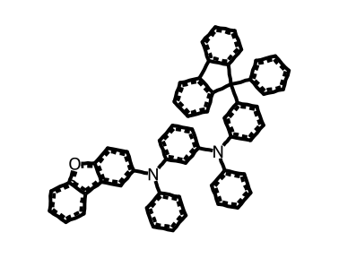 c1ccc(N(c2cccc(N(c3ccccc3)c3ccc4oc5ccccc5c4c3)c2)c2cccc(C3(c4ccccc4)c4ccccc4-c4ccccc43)c2)cc1